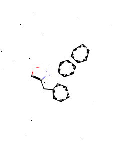 C1=C(Cc2ccccc2)NOO1.c1ccccc1.c1ccccc1